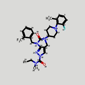 Cc1cccc(F)c1N1CCC(N2Cc3cn(C(=O)N(C)CC(C)C)nc3N(Cc3ccccc3C(F)(F)F)C2=O)CC1